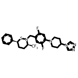 Fc1cc(N2CCC(n3cnnc3)CC2)c(F)cc1CN1S[C@H](c2ccccc2)CC[C@@H]1C(F)(F)F